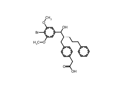 COc1cc(C(O)[C@H](CCCc2ccccc2)Cc2ccc(CC(=O)O)cc2)cc(OC)c1Br